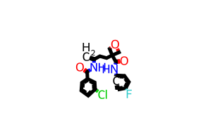 C=C(CCC1(C(=O)Nc2ccc(F)cc2)COC1)NC(=O)c1cccc(Cl)c1